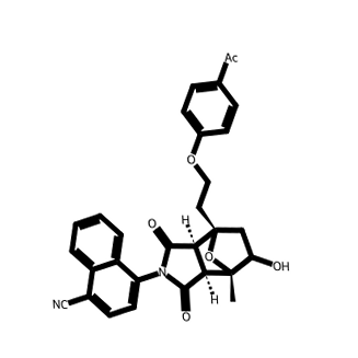 CC(=O)c1ccc(OCC[C@@]23CC(O)[C@@](C)(O2)[C@H]2C(=O)N(c4ccc(C#N)c5ccccc45)C(=O)[C@H]23)cc1